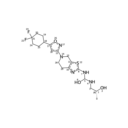 C[C@@H](O)CNC(O)Nc1nc2c(s1)CN(c1cc(C3CCC(F)(F)CC3)on1)CC2